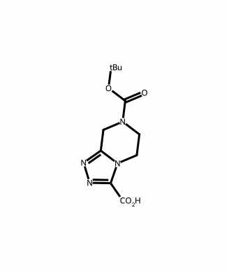 CC(C)(C)OC(=O)N1CCn2c(nnc2C(=O)O)C1